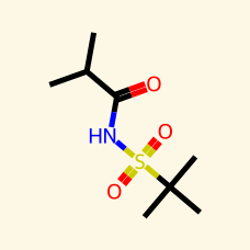 CC(C)C(=O)NS(=O)(=O)C(C)(C)C